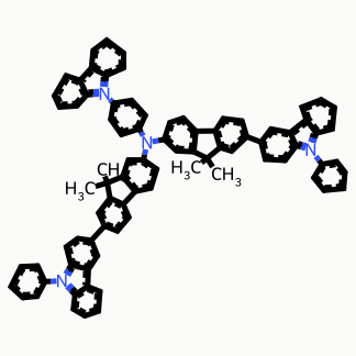 CC1(C)c2cc(-c3ccc4c(c3)c3ccccc3n4-c3ccccc3)ccc2-c2ccc(N(c3ccc(-n4c5ccccc5c5ccccc54)cc3)c3ccc4c(c3)C(C)(C)c3cc(-c5ccc6c(c5)c5ccccc5n6-c5ccccc5)ccc3-4)cc21